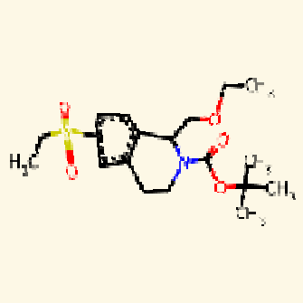 CCOCC1c2ccc(S(=O)(=O)CC)cc2CCN1C(=O)OC(C)(C)C